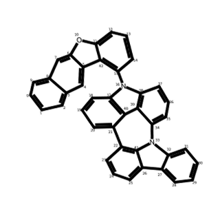 c1ccc2cc3c(cc2c1)oc1cccc(-n2c4cccc5c6cccc7c8ccccc8n(c8cccc2c8c54)c67)c13